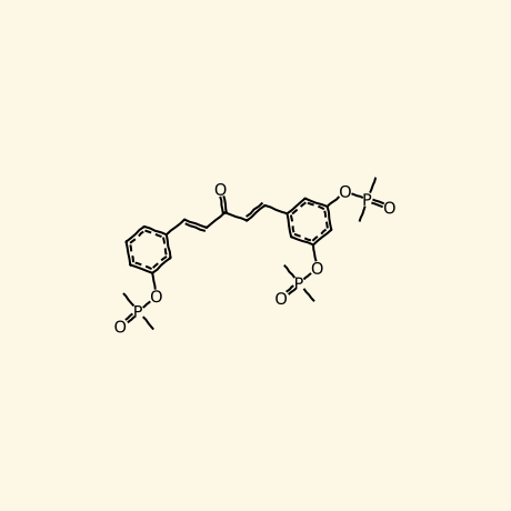 CP(C)(=O)Oc1cccc(/C=C/C(=O)/C=C/c2cc(OP(C)(C)=O)cc(OP(C)(C)=O)c2)c1